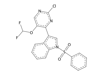 O=S(=O)(c1ccccc1)n1cc(-c2nc(Cl)ncc2OC(F)F)c2ccccc21